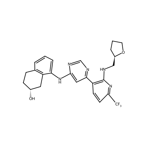 O[C@@H]1CCc2cccc(Nc3cc(-c4ccc(C(F)(F)F)nc4NC[C@H]4CCCO4)ncn3)c2C1